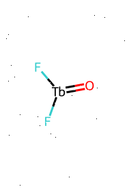 [O]=[Tb]([F])[F]